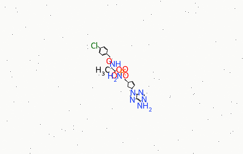 C[C@H](NOCc1ccc(Cl)cc1)C(=O)OP(N)(=O)OC[C@H]1C=C[C@@H](n2cnc3c(N)ncnc32)C1